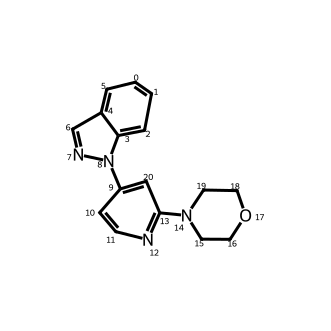 c1ccc2c(c1)cnn2-c1ccnc(N2CCOCC2)c1